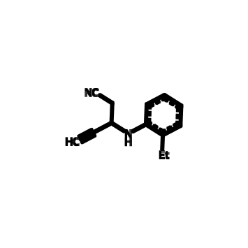 C#CC(CC#N)Nc1ccccc1CC